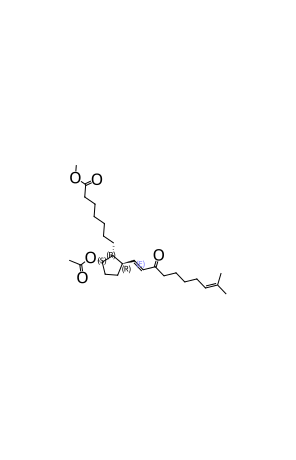 COC(=O)CCCCCC[C@H]1[C@@H](OC(C)=O)CC[C@@H]1/C=C/C(=O)CCCCC=C(C)C